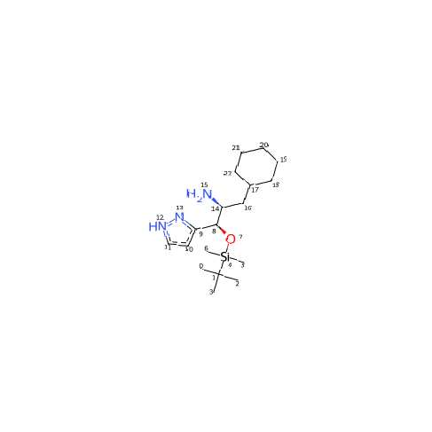 CC(C)(C)[Si](C)(C)O[C@@H](c1cc[nH]n1)[C@@H](N)CC1CCCCC1